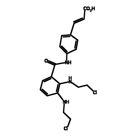 O=C(O)C=Cc1ccc(NC(=O)c2cccc(NCCCl)c2NCCCl)cc1